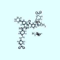 CCN([C@H]1CC[C@H](C(=O)[O-])CC1)S(=O)(=O)c1cccc(C(=O)Nc2ccc(N3CCCCC3)cc2C(=O)Nc2ccc(CCc3ccc(C(=O)[O-])cc3)cc2)c1.O.[K+].[Na+]